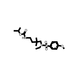 CCN(CC(C)(C)CCNC(=O)OC(C)C)S(=O)(=O)c1ccc(OC)cc1